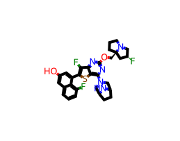 Oc1cc(-c2sc3c(N4CC5CCC(C4)N5)nc(OC[C@@]45CCCN4C[C@H](F)C5)nc3c2F)c2c(F)cccc2c1